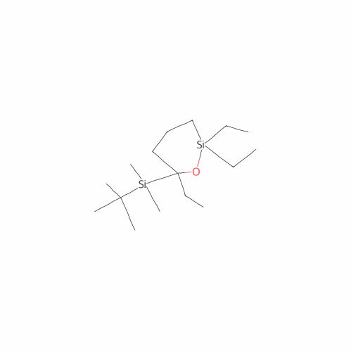 CCC1([Si](C)(C)C(C)(C)C)CCC[Si](CC)(CC)O1